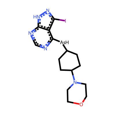 Ic1n[nH]c2ncnc([AsH]C3CCC(N4CCOCC4)CC3)c12